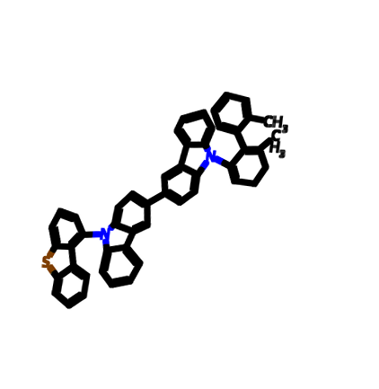 CC1=C(c2ccccc2C)C(n2c3ccccc3c3cc(-c4ccc5c(c4)c4ccccc4n5-c4cccc5sc6ccccc6c45)ccc32)=CCC1